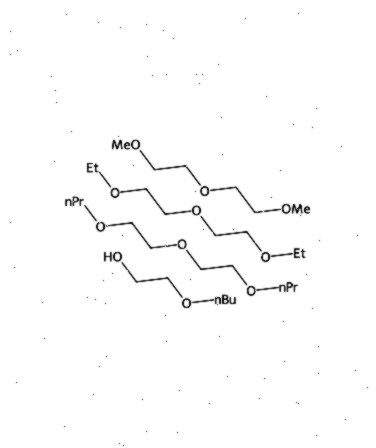 CCCCOCCO.CCCOCCOCCOCCC.CCOCCOCCOCC.COCCOCCOC